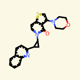 O=c1c2c(N3CCOCC3)csc2ccn1C1CC1c1ccc2ccccc2n1